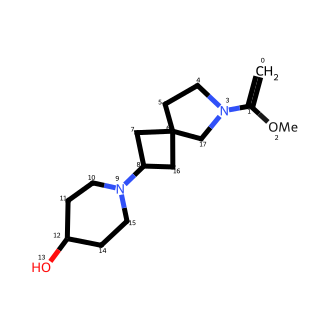 C=C(OC)N1CCC2(CC(N3CCC(O)CC3)C2)C1